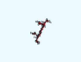 CCCCOC(=O)CCCCC(O)CN(CCCCSSCCN1CCN(CCOC(=O)CCCN(CC(O)CCCCC(=O)OCC(CC)CC)CC(O)CCCCC(=O)OCC(CC)CC)CC1)CC(O)CCCCC(=O)OCCCC